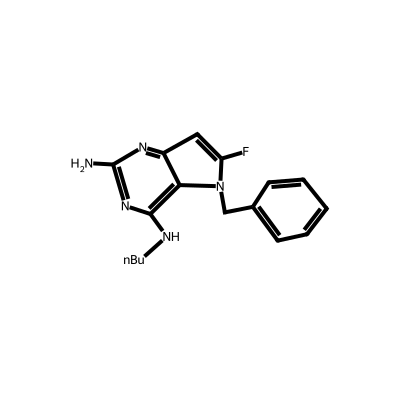 CCCCNc1nc(N)nc2cc(F)n(Cc3ccccc3)c12